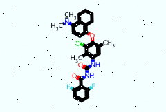 Cc1cc(NC(=O)NC(=O)c2c(F)cccc2F)c(C)c(Cl)c1Oc1ccc(N(C)C)c2c1CCCC2